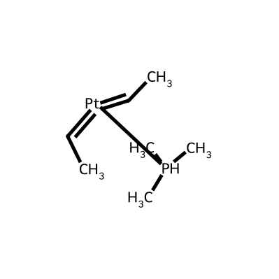 C/[CH]=[Pt](=[CH]/C)\[PH](C)(C)C